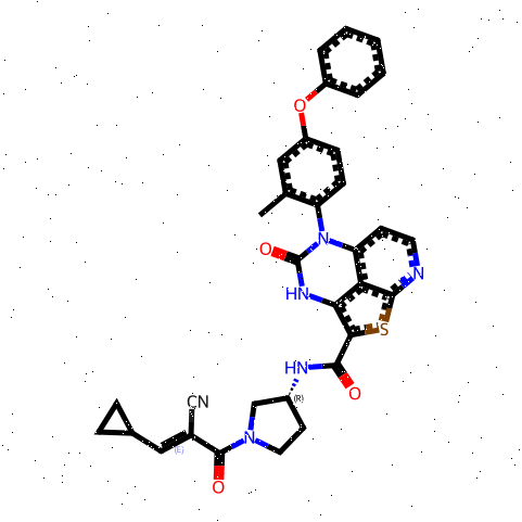 Cc1cc(Oc2ccccc2)ccc1N1C(=O)Nc2c(C(=O)N[C@@H]3CCN(C(=O)/C(C#N)=C/C4CC4)C3)sc3nccc1c23